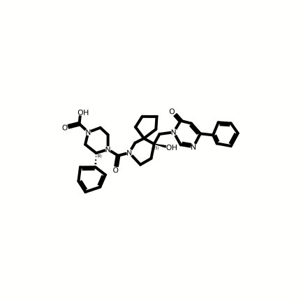 O=C(O)N1CCN(C(=O)N2CC[C@@](O)(Cn3cnc(-c4ccccc4)cc3=O)C3(CCCC3)C2)[C@H](c2ccccc2)C1